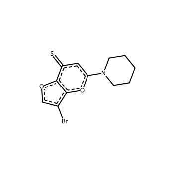 S=c1cc(N2CCCCC2)oc2c(Br)coc12